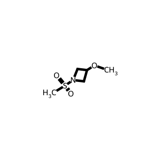 COC1CN(S(C)(=O)=O)C1